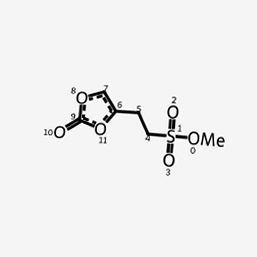 COS(=O)(=O)CCc1coc(=O)o1